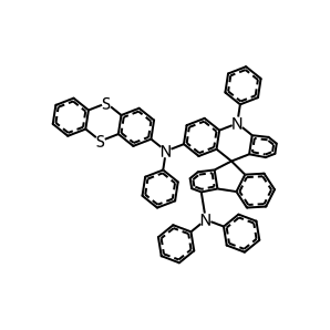 c1ccc(N(c2ccc3c(c2)Sc2ccccc2S3)c2ccc3c(c2)C2(c4ccccc4-c4c(N(c5ccccc5)c5ccccc5)cccc42)c2ccccc2N3c2ccccc2)cc1